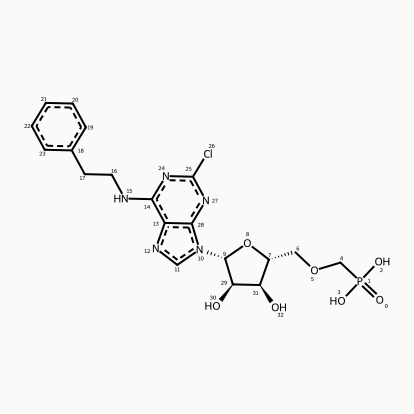 O=P(O)(O)COC[C@H]1O[C@@H](n2cnc3c(NCCc4ccccc4)nc(Cl)nc32)[C@H](O)[C@@H]1O